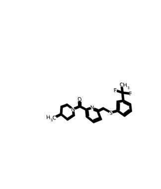 CC1CCN(C(=O)c2cccc(CSc3cccc(C(C)(F)F)c3)n2)CC1